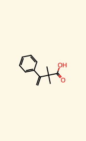 C=C(c1ccccc1)C(C)(C)C(=O)O